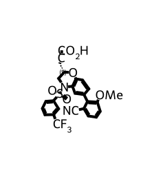 COc1cccc(C#N)c1-c1ccc2c(c1)N(S(=O)(=O)c1cccc(C(F)(F)F)c1)C[C@H](CCC(=O)O)O2